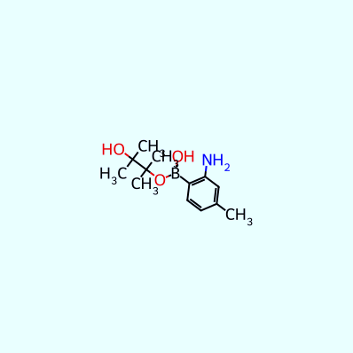 Cc1ccc(B(O)OC(C)(C)C(C)(C)O)c(N)c1